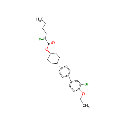 CCCC[C@H](F)C(=O)O[C@H]1CC[C@H](c2ccc(-c3ccc(OCC)c(Br)c3)cc2)CC1